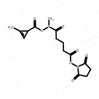 CC1=CC1C(=O)ON(C)C(=O)CCCC(=O)ON1C(=O)CCC1=O